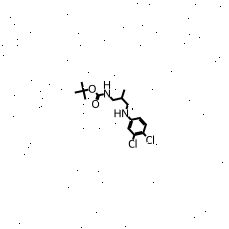 CC(CNC(=O)OC(C)(C)C)CNc1ccc(Cl)c(Cl)c1